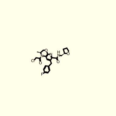 C[C@H]1COc2nc(C(=O)NC[C@H]3CCCO3)c(Cc3ccc(F)cc3)cc2N1C(=O)CCl